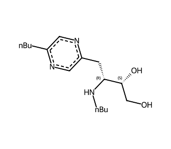 CCCCN[C@H](Cc1cnc(CCCC)cn1)[C@H](O)CO